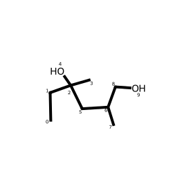 CCC(C)(O)CC(C)CO